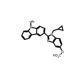 CCCn1c2ccccc2c2cc(-c3nc4cc(OC(=O)O)ccc4n3CC3CC3)ccc21